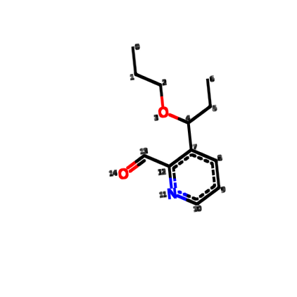 CCCOC(CC)c1cccnc1C=O